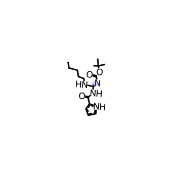 CCCCCN/C(=N\C(=O)OC(C)(C)C)NC(=O)c1ccc[nH]1